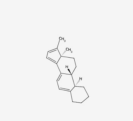 CC1=CC=C2C3=CC=C4CCCC[C@@H]4[C@H]3CC[C@]12C